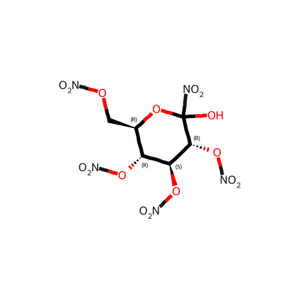 O=[N+]([O-])OC[C@H]1OC(O)([N+](=O)[O-])[C@H](O[N+](=O)[O-])[C@@H](O[N+](=O)[O-])[C@@H]1O[N+](=O)[O-]